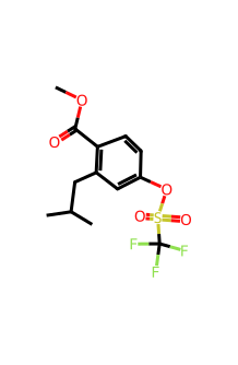 COC(=O)c1ccc(OS(=O)(=O)C(F)(F)F)cc1CC(C)C